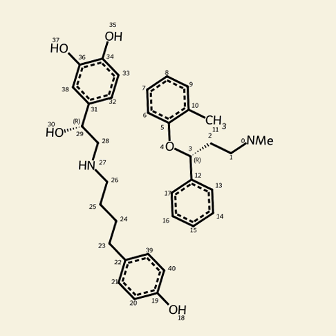 CNCC[C@@H](Oc1ccccc1C)c1ccccc1.Oc1ccc(CCCCNC[C@H](O)c2ccc(O)c(O)c2)cc1